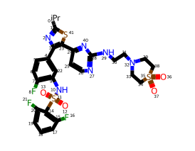 CC(C)c1nc(-c2ccc(F)c(NS(=O)(=O)c3c(F)cccc3F)c2)c(-c2ccnc(NCCN3CCS(=O)(=O)CC3)n2)s1